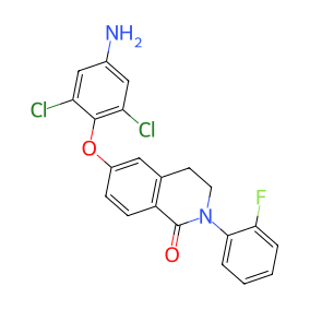 Nc1cc(Cl)c(Oc2ccc3c(c2)CCN(c2ccccc2F)C3=O)c(Cl)c1